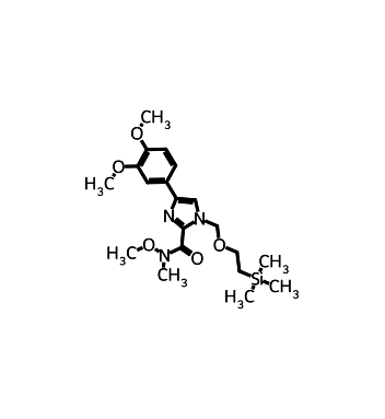 COc1ccc(-c2cn(COCC[Si](C)(C)C)c(C(=O)N(C)OC)n2)cc1OC